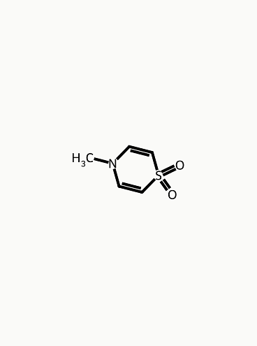 CN1C=CS(=O)(=O)C=C1